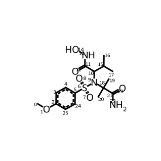 COc1ccc(S(=O)(=O)N(C(C(=O)NO)C(C)C)C(C)(C)C(N)=O)cc1